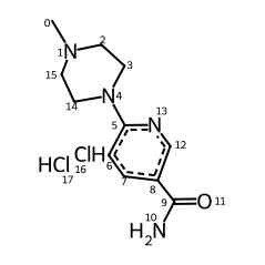 CN1CCN(c2ccc(C(N)=O)cn2)CC1.Cl.Cl